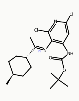 C/C(=N\c1c(NC(=O)OC(C)(C)C)cc(Cl)nc1Cl)[C@H]1CC[C@H](C)CC1